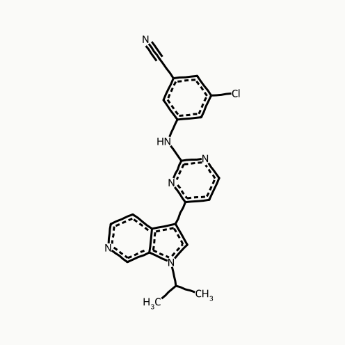 CC(C)n1cc(-c2ccnc(Nc3cc(Cl)cc(C#N)c3)n2)c2ccncc21